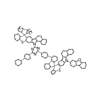 c1ccc(-c2ccc(-c3nc(-c4ccc(-c5cccc6c5-c5ccccc5C65c6ccccc6Sc6cc7c(cc65)c5ccc6ccccc6c5n7-c5ccc6c(c5)oc5ccccc56)cc4)nc(-n4c5cc6c(cc5c5ccc7ccccc7c54)C4(c5ccccc5S6)c5ccccc5-c5ccccc54)n3)cc2)cc1